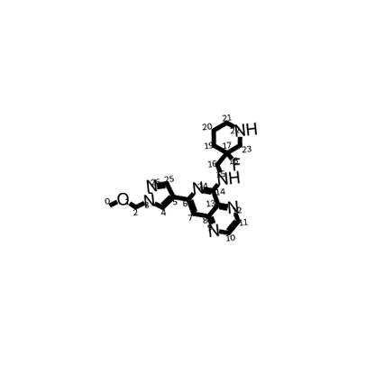 COCn1cc(-c2cc3nccnc3c(NCC3(F)CCCNC3)n2)cn1